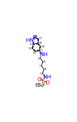 CC(C)(C)S(=O)(=O)NCCCCCNc1ccc2[nH]ncc2c1